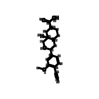 COc1cc([C@@H]2CN3CCN(C(=O)O)C[C@H]3CO2)ccc1C#N